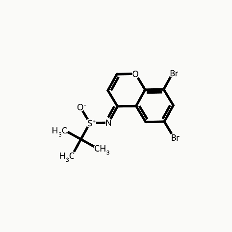 CC(C)(C)[S+]([O-])N=c1ccoc2c(Br)cc(Br)cc12